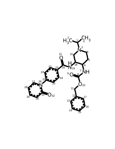 CC(C)N1CCC(NC(=O)OCc2ccccc2)C(NC(=O)c2ccc(-n3ccccc3=O)cc2)C1